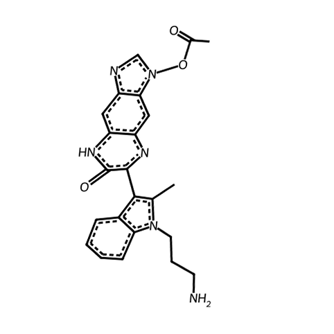 CC(=O)On1cnc2cc3[nH]c(=O)c(-c4c(C)n(CCCN)c5ccccc45)nc3cc21